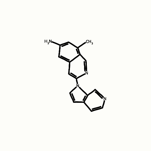 Cc1cc(N)cc2cc(-n3ccc4ccncc43)ncc12